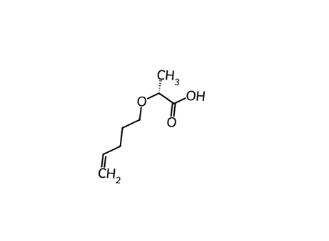 C=CCCCO[C@H](C)C(=O)O